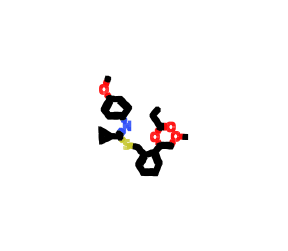 CCC(=O)OC(=COC)c1ccccc1CSC(=Nc1ccc(OC)cc1)C1CC1